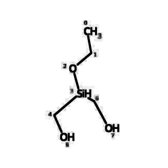 CCO[SiH](CO)CO